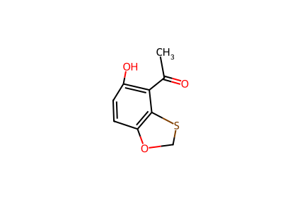 CC(=O)c1c(O)ccc2c1SCO2